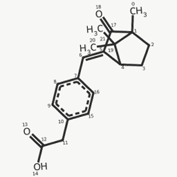 CC12CCC(C(=Cc3ccc(CC(=O)O)cc3)C1=O)C2(C)C